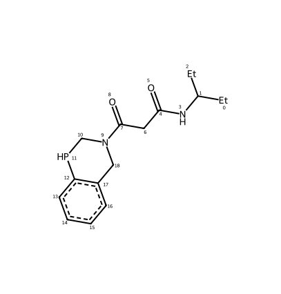 CCC(CC)NC(=O)CC(=O)N1CPc2ccccc2C1